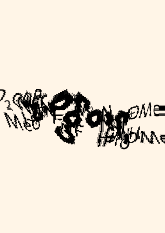 CCC[C@H](NC(=O)O)C(=O)N1C[C@@H](OC)C[C@H]1c1nc2cc([C@H]3CC[C@H](c4ccc5[nH]c([C@@H]6C[C@H](OC)CN6C(=O)[C@@H](NC(=O)OC)C(C)C)nc5c4)N3c3cc(F)c(N4CCCCC4)c(F)c3)ccc2[nH]1